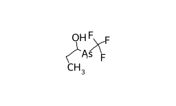 CCC(O)[As]C(F)(F)F